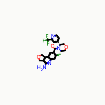 Nc1nc2cc(F)c(C(=O)N3CCOC[C@H]3c3ccnc(C(F)(F)F)c3)cc2c2c1COC2